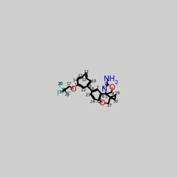 NC1=NC2(CO1)c1cc(C3=C/C=C/C=C/C(OCC(F)(F)F)=C\3)ccc1OCC21CC1